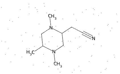 CC1CN(C)C(CC#N)CN1C